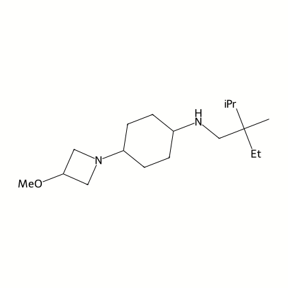 CCC(C)(CNC1CCC(N2CC(OC)C2)CC1)C(C)C